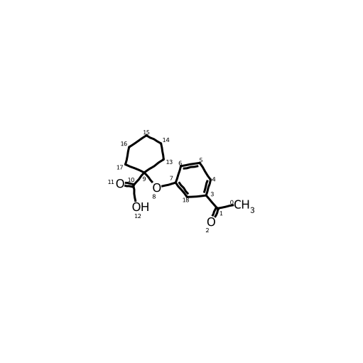 CC(=O)c1cccc(OC2(C(=O)O)CCCCC2)c1